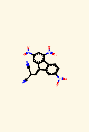 N#CC(C#N)C=C1c2cc([N+](=O)[O-])ccc2-c2c1cc([N+](=O)[O-])cc2[N+](=O)[O-]